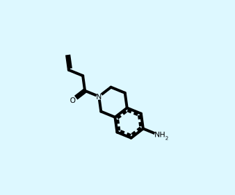 C=CCC(=O)N1CCc2cc(N)ccc2C1